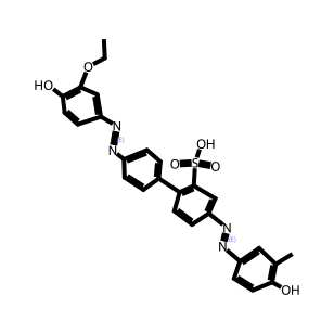 CCOc1cc(/N=N/c2ccc(-c3ccc(/N=N/c4ccc(O)c(C)c4)cc3S(=O)(=O)O)cc2)ccc1O